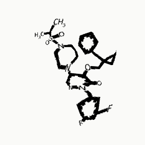 CC(C)S(=O)(=O)N1CCN(c2cnn(-c3cc(F)cc(F)c3)c(=O)c2OCC2(c3ccccc3)CC2)CC1